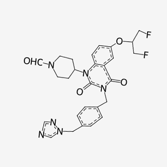 O=CN1CCC(n2c(=O)n(Cc3ccc(Cn4cncn4)cc3)c(=O)c3cc(OC(CF)CF)ccc32)CC1